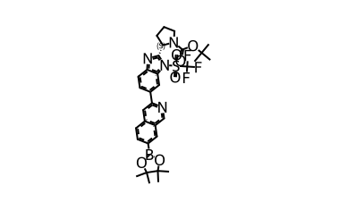 CC(C)(C)OC(=O)N1CCC[C@H]1c1nc2ccc(-c3cc4ccc(B5OC(C)(C)C(C)(C)O5)cc4cn3)cc2n1S(=O)(=O)C(F)(F)F